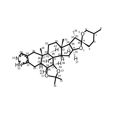 CC1CC[C@@]2(OC1)O[C@H]1C[C@H]3[C@@H]4[C@H]5OC(C)(C)O[C@@H]5[C@H]5Cc6[nH]ncc6C[C@]5(C)[C@H]4CC[C@]3(C)[C@H]1[C@@H]2C